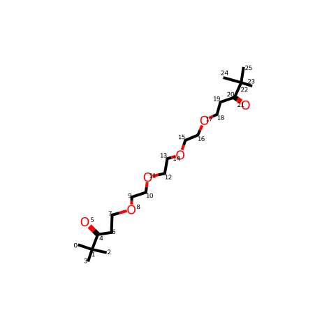 CC(C)(C)C(=O)CCOCCOCCOCCOCCC(=O)C(C)(C)C